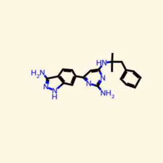 CC(C)(Cc1ccccc1)Nc1cc(-c2ccc3c(N)n[nH]c3c2)nc(N)n1